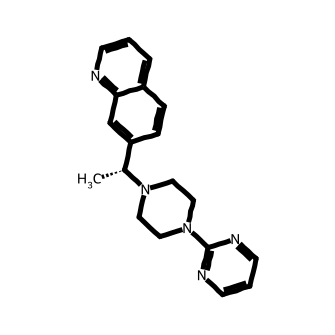 C[C@H](c1ccc2cccnc2c1)N1CCN(c2ncccn2)CC1